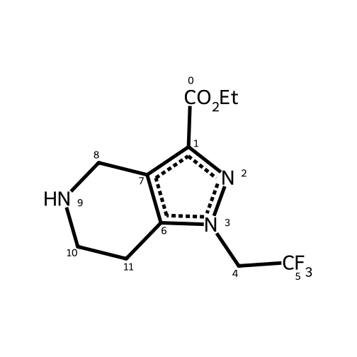 CCOC(=O)c1nn(CC(F)(F)F)c2c1CNCC2